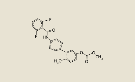 COC(=O)Oc1ccc(C)c(-c2ccc(NC(=O)c3c(F)cccc3F)cc2)c1